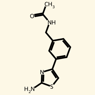 CC(=O)NCc1cccc(-c2csc(N)n2)c1